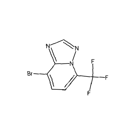 FC(F)(F)c1ccc(Br)c2ncnn12